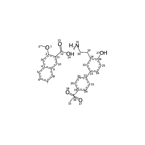 COc1cc2ccccc2cc1C(=O)O.CS(=O)(=O)c1ccc(-c2ccc(O)c(CCN)c2)cc1